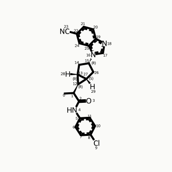 CC(C(=O)Nc1ccc(Cl)cc1)[C@H]1[C@@H]2C[C@H](n3cnc4ccc(C#N)cc43)C[C@@H]21